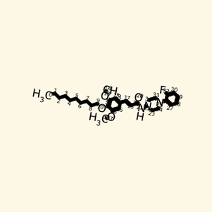 CCCCCCCCCCOc1c(OC)cc(C=CC(=O)NN2CCN(c3ccccc3F)CC2)cc1OC